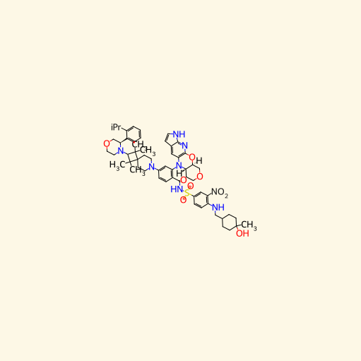 CC(C)c1ccccc1[C@@H]1COCCN1C1C(C)(C)C2(CCN(c3ccc(C(=O)NS(=O)(=O)c4ccc(NCC5CCC(C)(O)CC5)c([N+](=O)[O-])c4)c(N4c5cc6cc[nH]c6nc5O[C@H]5COCC[C@@H]54)c3)CC2)C1(C)C